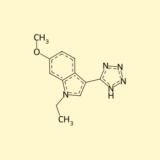 CCn1cc(-c2nnn[nH]2)c2ccc(OC)cc21